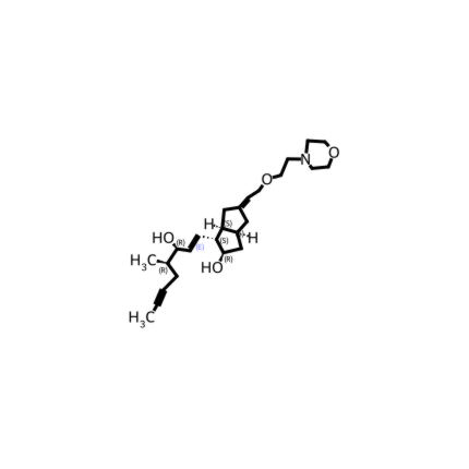 CC#CC[C@@H](C)[C@@H](O)/C=C/[C@@H]1[C@H]2CC(=CCOCCN3CCOCC3)C[C@H]2C[C@H]1O